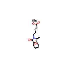 C=C1C2C3C=CC(O3)C2C(=O)N1CCCCC(=O)OC(C)(C)C